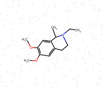 CCN1CCc2cc(OC)c(OC)cc2C1C